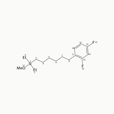 CC[Si](CC)(CCCCCCc1ccc(F)cc1F)OC